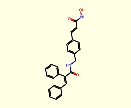 O=C(C=Cc1ccc(CNC(=O)C(=Cc2ccccc2)c2ccccc2)cc1)NO